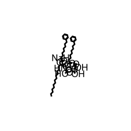 CCCCCCCCCCCCCCC(OC(=O)CCCCCCCCc1ccccc1)C(=O)N[C@H]1C(O)O[C@H](CO)[C@@H](OS(=O)(=O)O)[C@@H]1OC(=O)CCCCCCCCc1ccccc1.[NaH]